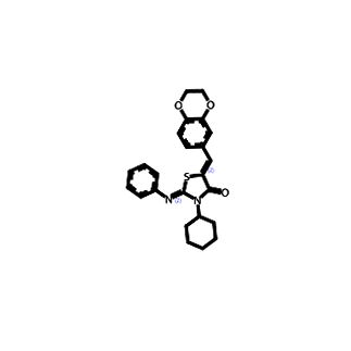 O=C1/C(=C/c2ccc3c(c2)OCCO3)S/C(=N\c2ccccc2)N1C1CCCCC1